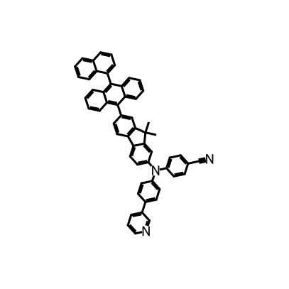 CC1(C)c2cc(-c3c4ccccc4c(-c4cccc5ccccc45)c4ccccc34)ccc2-c2ccc(N(c3ccc(C#N)cc3)c3ccc(-c4cccnc4)cc3)cc21